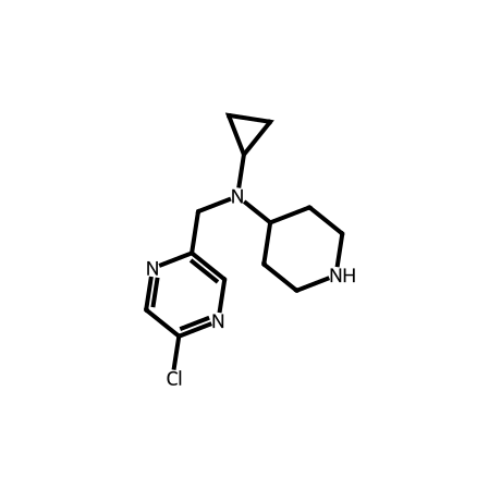 Clc1cnc(CN(C2CCNCC2)C2CC2)cn1